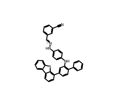 N#Cc1cccc(/C=N/Nc2ccc(Nc3cc(-c4cccc5c4sc4ccccc45)ccc3-c3ccccc3)cc2)c1